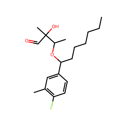 CCCCCCC(OC(C)C(C)(O)C=O)c1ccc(F)c(C)c1